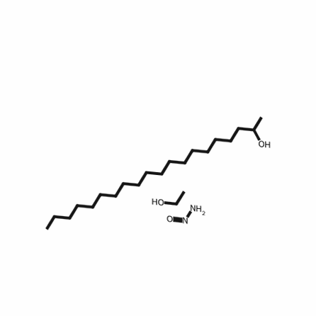 CCCCCCCCCCCCCCCCCCC(C)O.CCO.NN=O